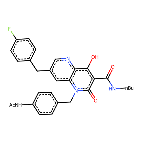 CCCCNC(=O)c1c(O)c2ncc(Cc3ccc(F)cc3)cc2n(Cc2ccc(NC(C)=O)cc2)c1=O